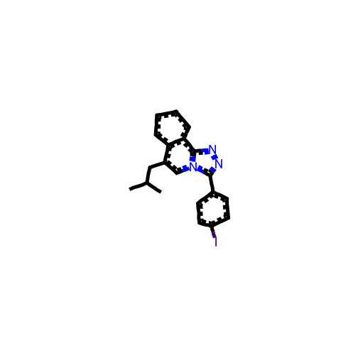 CC(C)Cc1cn2c(-c3ccc(I)cc3)nnc2c2ccccc12